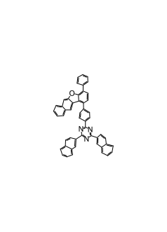 c1ccc(-c2ccc(-c3ccc(-c4nc(-c5ccc6ccccc6c5)nc(-c5ccc6ccccc6c5)n4)cc3)c3c2oc2cc4ccccc4cc23)cc1